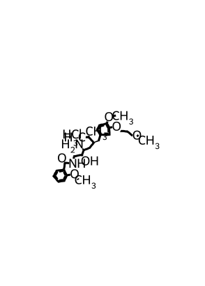 COCCCOc1cc(C[C@@H](C[C@H](N)[C@@H](O)CNC(=O)c2ccccc2OC)C(C)C)ccc1OC.Cl